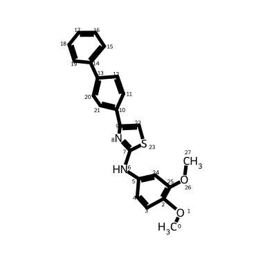 COc1ccc(Nc2nc(-c3ccc(-c4ccccc4)cc3)cs2)cc1OC